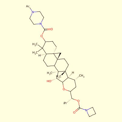 CC(=O)N1CCN(C(=O)OC2CC[C@]34C[C@]35CC[C@]3(C)[C@@H]6C(OC([C@H](OC(=O)N7CCC7)C(C)C)C[C@H]6C)[C@H](O)[C@@]3(C)C5CC[C@H]4C2(C)C)CC1